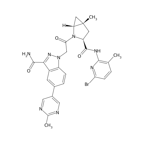 Cc1ncc(-c2ccc3c(c2)c(C(N)=O)nn3CC(=O)N2[C@H](C(=O)Nc3nc(Br)ccc3C)C[C@@]3(C)C[C@@H]23)cn1